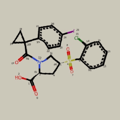 O=C(O)[C@@H]1C[C@@H](S(=O)(=O)c2ccccc2Cl)CN1C(=O)C1(c2ccc(I)cc2)CC1